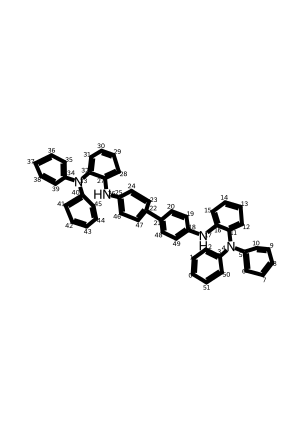 c1ccc(N(c2ccccc2)c2ccccc2Nc2ccc(-c3ccc(Nc4ccccc4N(c4ccccc4)c4ccccc4)cc3)cc2)cc1